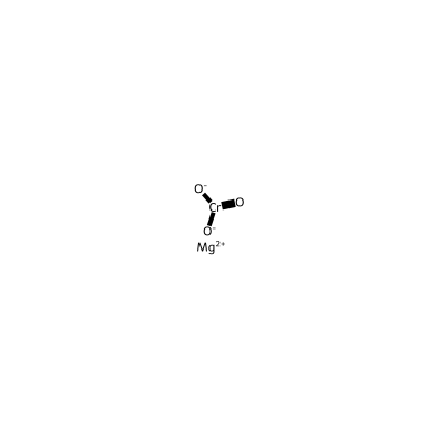 [Mg+2].[O]=[Cr]([O-])[O-]